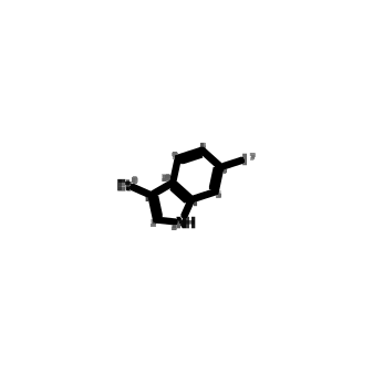 CCc1c[nH]c2cc(I)ccc12